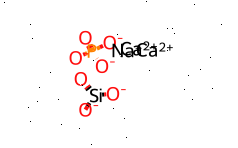 O=P([O-])([O-])[O-].O=[Si]([O-])[O-].[Ca+2].[Ca+2].[Na+]